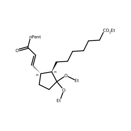 CCCCCC(=O)C=C[C@H]1CCC(OCC)(OCC)[C@@H]1CCCCCCC(=O)OCC